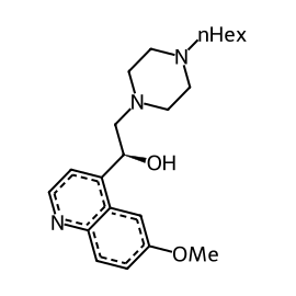 CCCCCCN1CCN(C[C@@H](O)c2ccnc3ccc(OC)cc23)CC1